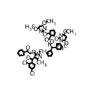 COc1cc(OC)nc(Oc2cccc(Oc3nc(OC)cc(OC)n3)c2C(=O)ON=C(c2ccccc2)c2ccccc2)n1.Cc1nn(C)c(OCC(=O)c2ccccc2)c1C(=O)c1ccc(Cl)cc1Cl